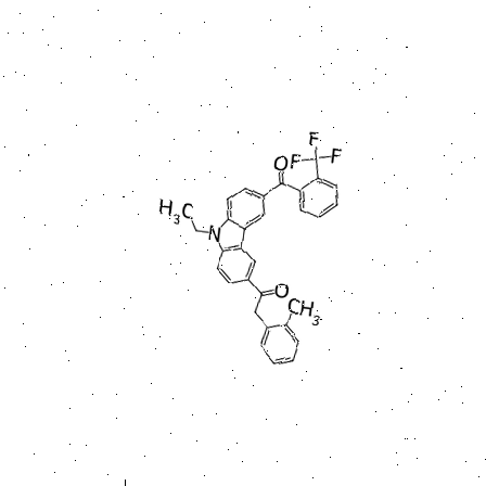 CCn1c2ccc(C(=O)Cc3ccccc3C)cc2c2cc(C(=O)c3ccccc3C(F)(F)F)ccc21